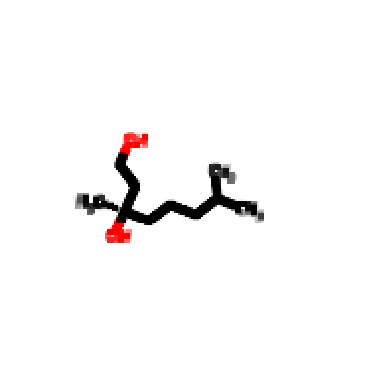 CC(C)CCC[C@@](C)(O)CCO